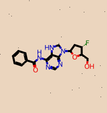 O=C(Nc1ncnc2c1NCN2C1C[C@H](F)C(CO)O1)c1ccccc1